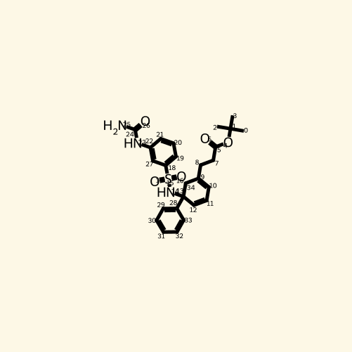 CC(C)(C)OC(=O)CCC1=CC=CC(NS(=O)(=O)c2cccc(NC(N)=O)c2)(c2ccccc2)C1